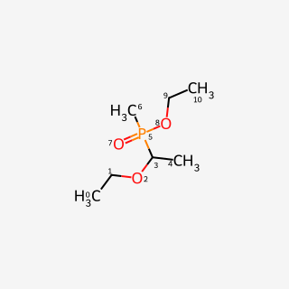 CCOC(C)P(C)(=O)OCC